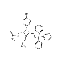 C=CCN1[C@H](CNC(=O)C(F)(F)F)[C@H](c2ccc(Br)cc2)[C@H]1COC(c1ccccc1)(c1ccccc1)c1ccccc1